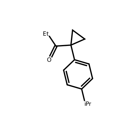 CCC(=O)C1(c2ccc(C(C)C)cc2)CC1